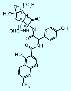 Cc1ccc2c(O)c(C(=O)NC(C(=O)N[C@]3(NC=O)C(=O)N4[C@@H](C(=O)O)C(C)(C)S[C@@H]43)c3ccc(O)cc3)cnc2n1